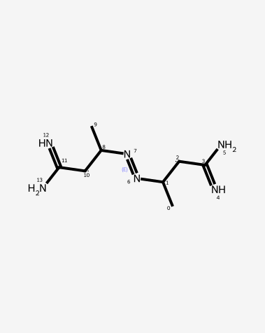 CC([CH]C(=N)N)/N=N/C(C)[CH]C(=N)N